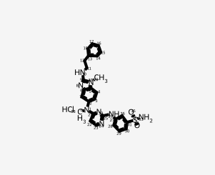 CN(c1ccc2c(c1)nc(NCCc1ccccc1)n2C)c1ccnc(Nc2cccc(S(N)(=O)=O)c2)n1.Cl